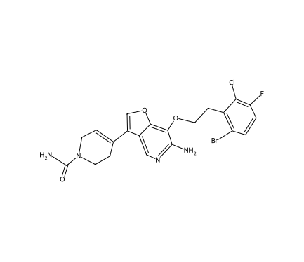 NC(=O)N1CC=C(c2coc3c(OCCc4c(Br)ccc(F)c4Cl)c(N)ncc23)CC1